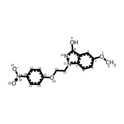 COc1ccc2c(c1)c(O)nn2CCOc1ccc([N+](=O)[O-])cc1